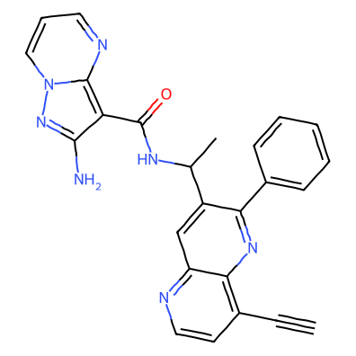 C#Cc1ccnc2cc(C(C)NC(=O)c3c(N)nn4cccnc34)c(-c3ccccc3)nc12